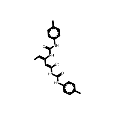 C/C=C(\C=C(/CC)NC(=O)Nc1ccc(C)cc1)NC(=O)Nc1ccc(C)cc1